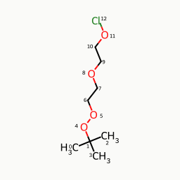 CC(C)(C)OOCCOCCOCl